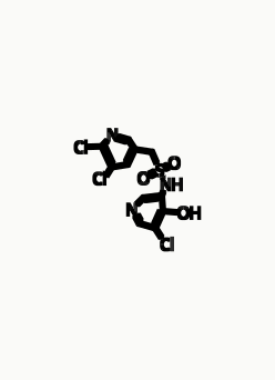 O=S(=O)(Cc1cnc(Cl)c(Cl)c1)Nc1cncc(Cl)c1O